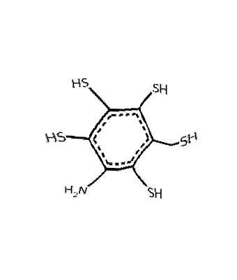 Nc1c(S)c(S)c(S)c(S)c1S